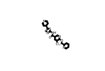 C[C@H](Oc1ncc(C(=O)Nc2nnc(-c3ccncc3)s2)cc1Cl)c1ccccn1